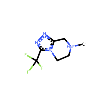 [CH2-][NH+]1CCn2c(nnc2C(F)(F)F)C1